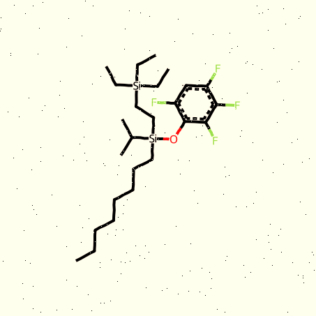 CCCCCCCC[Si](CC[Si](CC)(CC)CC)(Oc1c(F)[c]c(F)c(F)c1F)C(C)C